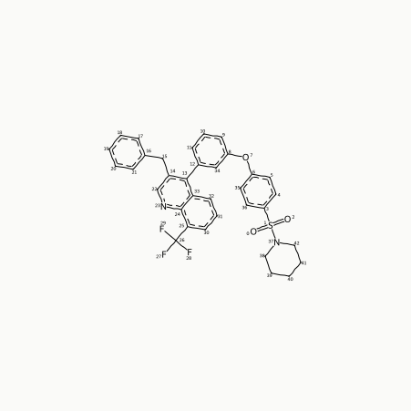 O=S(=O)(c1ccc(Oc2cccc(-c3c(Cc4ccccc4)cnc4c(C(F)(F)F)cccc34)c2)cc1)N1CCCCC1